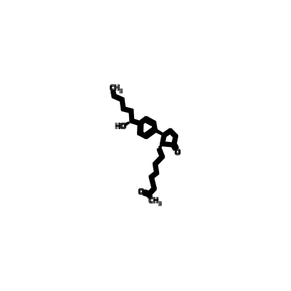 CCCCC[C@@H](O)c1ccc([C@H]2CCC(=O)[C@@H]2CCCCCCC(C)=O)cc1